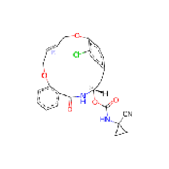 N#CC1(NC(=O)O[C@H]2Cc3ccc(c(Cl)c3)OC/C=C/COc3ccccc3C(=O)N2)CC1